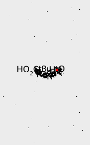 CC(C)(C)C1CN(Cc2ccc(-c3nc4ccc(C5=NNC(=O)C6CC56)cc4o3)cc2)CCN1C(=O)O